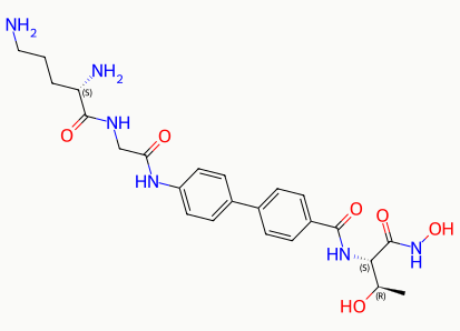 C[C@@H](O)[C@H](NC(=O)c1ccc(-c2ccc(NC(=O)CNC(=O)[C@@H](N)CCCN)cc2)cc1)C(=O)NO